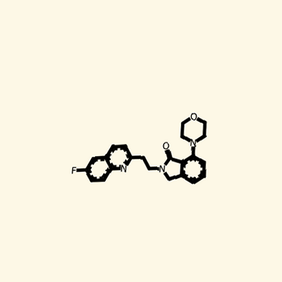 O=C1c2c(cccc2N2CCOCC2)CN1CCc1ccc2cc(F)ccc2n1